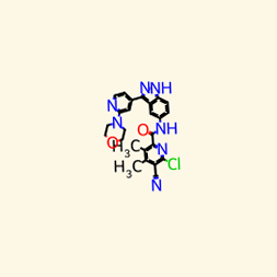 Cc1c(C(=O)Nc2ccc3[nH]nc(-c4ccnc(N5CCOCC5)c4)c3c2)nc(Cl)c(C#N)c1C